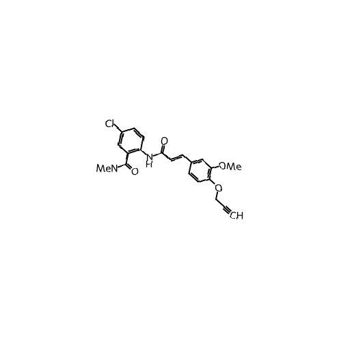 C#CCOc1ccc(/C=C/C(=O)Nc2ccc(Cl)cc2C(=O)NC)cc1OC